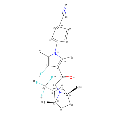 Cc1c(F)c(C(=O)CN2[C@H]3CC[C@@H]2[C@H](C(F)(F)F)C3)c(C)n1-c1ccc(C#N)cc1